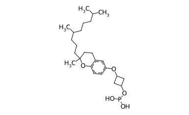 CC(C)CCCC(C)CCCC1(C)CCc2cc(OC3CC(OP(O)O)C3)ccc2O1